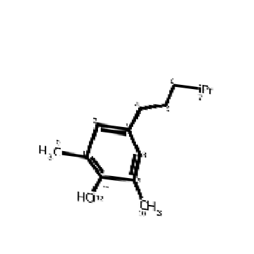 Cc1cc(CCCC(C)C)cc(C)c1O